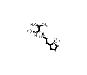 CN[C@@H](CNCCC1CCCN1C)C(C)C